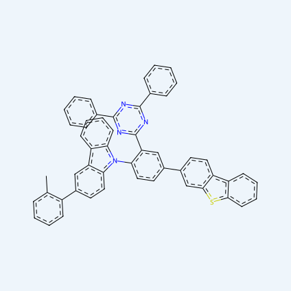 Cc1ccccc1-c1ccc2c(c1)c1ccccc1n2-c1ccc(-c2ccc3c(c2)sc2ccccc23)cc1-c1nc(-c2ccccc2)nc(-c2ccccc2)n1